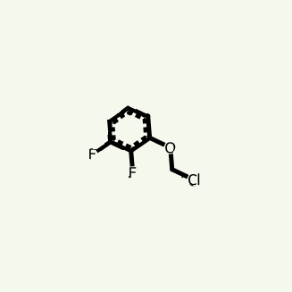 Fc1cccc(OCCl)c1F